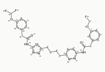 O=C(Cc1cccc(OCF)c1)Nc1ccc(CCCCc2nnc(NC(=O)Cc3cccc(OC(F)F)c3)s2)nn1